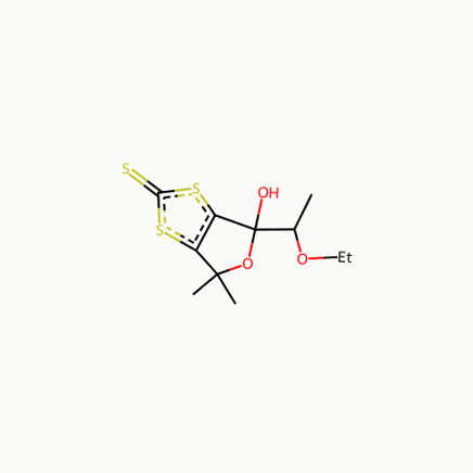 CCOC(C)C1(O)OC(C)(C)c2sc(=S)sc21